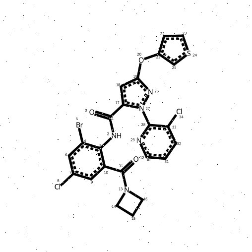 O=C(Nc1c(Br)cc(Cl)cc1C(=O)N1CCC1)c1cc(Oc2ccsc2)nn1-c1ncccc1Cl